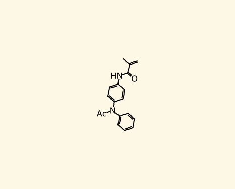 C=C(C)C(=O)Nc1ccc(N(C(C)=O)c2ccccc2)cc1